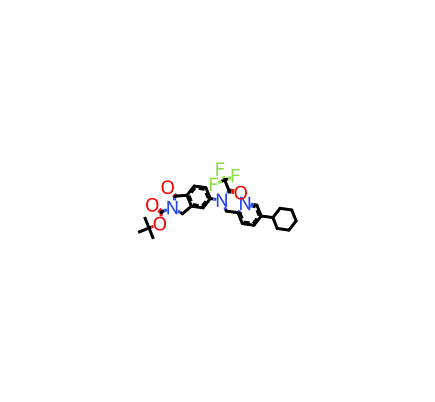 CC(C)(C)OC(=O)N1Cc2cc(N(Cc3ccc(C4CCCCC4)cn3)C(=O)C(F)(F)F)ccc2C1=O